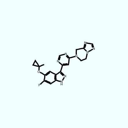 CC1(Oc2cc3c(-c4cc(N5CCn6ncnc6C5)ncn4)n[nH]c3cc2F)CC1